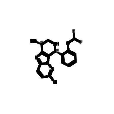 O[C@@H]1CN[C@H](c2ccccc2OC(F)F)c2c1nc1ccc(Cl)nn21